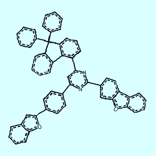 c1ccc(C2(c3ccccc3)c3ccccc3-c3c(-c4cc(-c5ccc(-c6cc7ccccc7o6)cc5)nc(-c5ccc6c(c5)oc5ccccc56)n4)cccc32)cc1